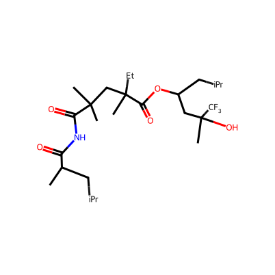 CCC(C)(CC(C)(C)C(=O)NC(=O)C(C)CC(C)C)C(=O)OC(CC(C)C)CC(C)(O)C(F)(F)F